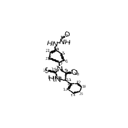 O=CNNc1ccc(N2C(=O)C(c3ccccc3)NC2=S)cc1